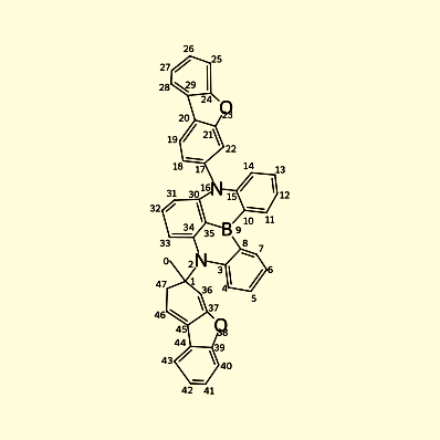 CC1(N2c3ccccc3B3c4ccccc4N(c4ccc5c(c4)oc4ccccc45)c4cccc2c43)C=c2oc3ccccc3c2=CC1